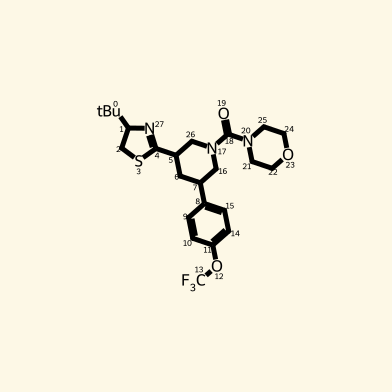 CC(C)(C)C1CSC(C2CC(c3ccc(OC(F)(F)F)cc3)CN(C(=O)N3CCOCC3)C2)=N1